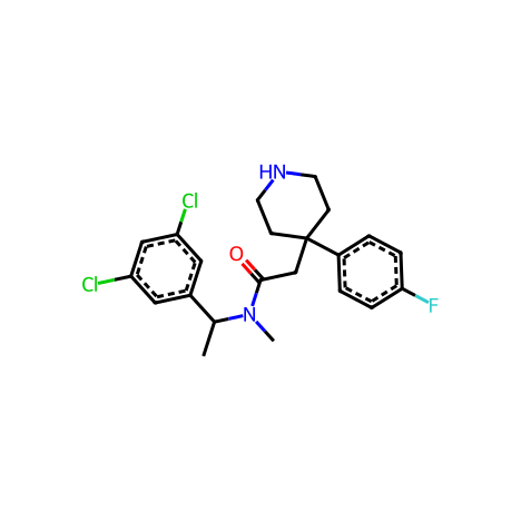 CC(c1cc(Cl)cc(Cl)c1)N(C)C(=O)CC1(c2ccc(F)cc2)CCNCC1